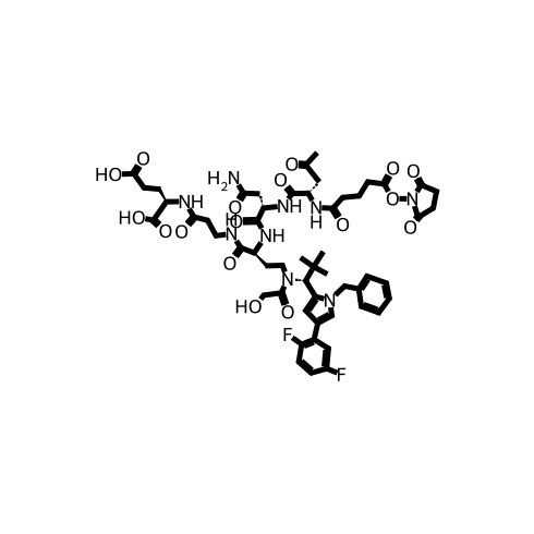 CC(=O)C[C@H](NC(=O)CCCC(=O)ON1C(=O)CCC1=O)C(=O)N[C@@H](CC(N)=O)C(=O)N[C@@H](CCN(C(=O)CO)[C@@H](c1cc(-c2cc(F)ccc2F)cn1Cc1ccccc1)C(C)(C)C)C(=O)NCCC(=O)N[C@H](CCC(=O)O)C(=O)O